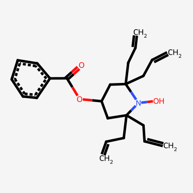 C=CCC1(CC=C)CC(OC(=O)c2ccccc2)CC(CC=C)(CC=C)N1O